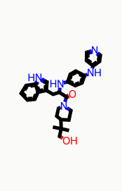 CC(C)(CO)C1CCN(C(=O)C(Cc2c[nH]c3ccccc23)Nc2ccc(Nc3ccncc3)cc2)CC1